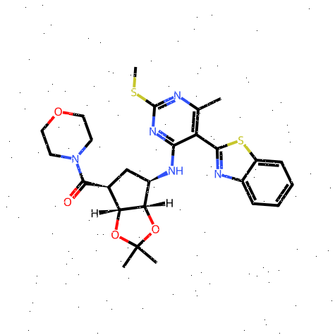 CSc1nc(C)c(-c2nc3ccccc3s2)c(N[C@@H]2C[C@H](C(=O)N3CCOCC3)[C@H]3OC(C)(C)O[C@H]32)n1